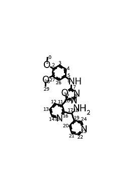 COc1ccc(Nc2nnc(-c3cccnc3C(N)c3cccnc3)o2)cc1OC